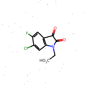 O=C(O)CN1C(=O)C(=O)c2cc(F)c(Cl)cc21